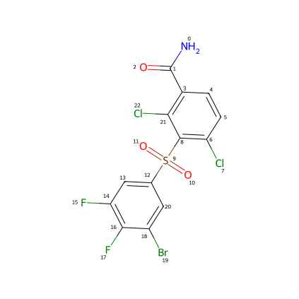 NC(=O)c1ccc(Cl)c(S(=O)(=O)c2cc(F)c(F)c(Br)c2)c1Cl